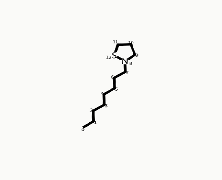 CCCCCCCCN1CCCS1